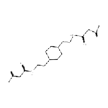 CC(=O)CC(=O)NCCC1CCC(CCNC(=O)CC(C)=O)CC1